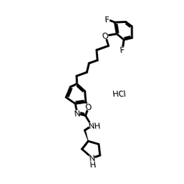 Cl.Fc1cccc(F)c1OCCCCCCc1ccc2nc(NC[C@H]3CCNC3)oc2c1